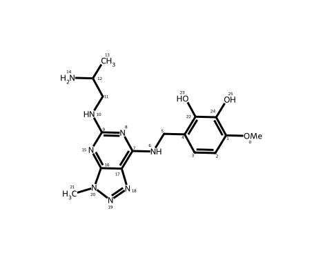 COc1ccc(CNc2nc(NCC(C)N)nc3c2nnn3C)c(O)c1O